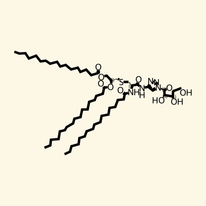 CCCCCCCCCCCCCCCCC(=O)N[C@H](CSC[C@@H](COC(=O)CCCCCCCCCCCCCCCC)OC(=O)CCCCCCCCCCCCCCCC)C(=O)Nc1cn([C@H]2OC(CO)[C@@H](O)[C@@H]2O)nn1